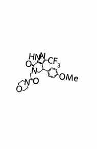 COc1ccc(C2CN(CC(=O)N3CCOCC3)C(=O)c3[nH]nc(C(F)(F)F)c32)cc1